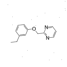 CCc1cccc(OCc2ncccn2)c1